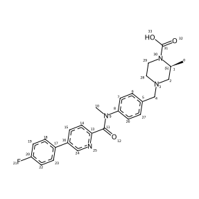 C[C@H]1CN(Cc2ccc(N(C)C(=O)c3ccc(-c4ccc(F)cc4)cn3)cc2)CCN1C(=O)O